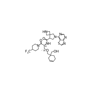 C[C@@H](OCC1(CO)CC=CCC1)[C@H](NC(=O)C1CN(c2ncnc3ncsc23)CC12CNC2)C(=O)N1CCC(C(F)(F)F)CC1